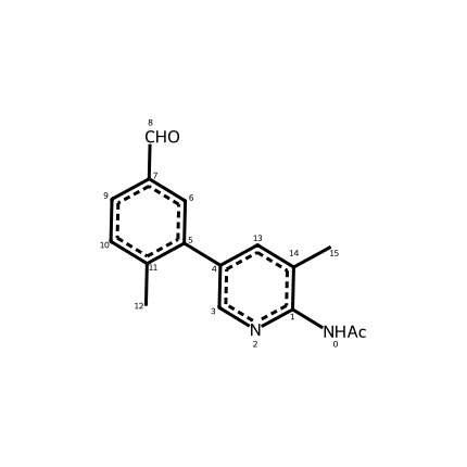 CC(=O)Nc1ncc(-c2cc(C=O)ccc2C)cc1C